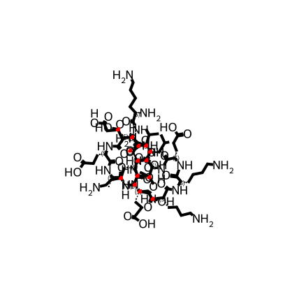 CC(C)C[C@H](NC(=O)[C@H](CC(=O)O)NC(=O)[C@@H](N)CCCCN)C(=O)N[C@@H](CCCCN)C(=O)N[C@@H](CCC(=O)O)C(=O)N[C@@H](CCCCN)C(=O)N[C@@H](CCCCN)C(=O)N[C@@H](CCC(=O)O)C(=O)N[C@H](C(=O)N[C@H](C(=O)N[C@@H](CCC(=O)O)C(=O)N[C@@H](CCC(=O)O)C(=O)N[C@@H](C)C(=O)N[C@@H](CCC(=O)O)C(=O)N[C@@H](CC(N)=O)C(=O)O)C(C)C)C(C)C